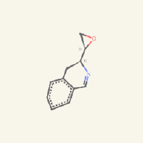 C1=N[C@H]([C@H]2CO2)Cc2ccccc21